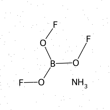 FOB(OF)OF.N